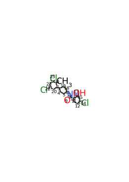 CC1C(c2ccc(NC(=O)c3ccc(Cl)cc3O)cc2)=CC(Cl)=CC1Cl